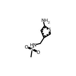 CS(=O)(=O)NCc1csc(N)c1